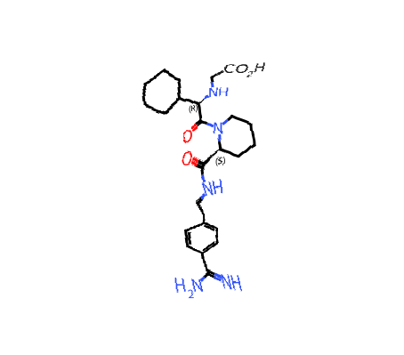 N=C(N)c1ccc(CNC(=O)[C@@H]2CCCCN2C(=O)[C@H](NCC(=O)O)C2CCCCC2)cc1